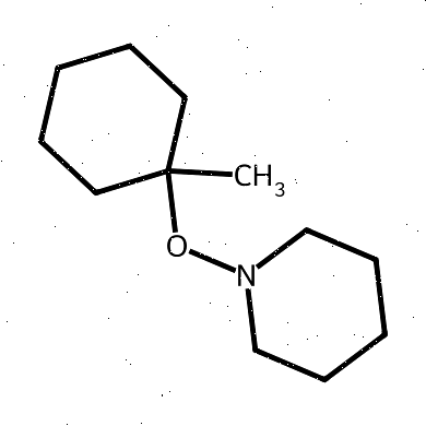 CC1(ON2CCCCC2)CCCCC1